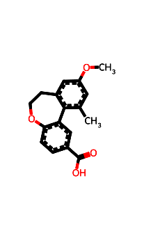 COc1cc(C)c2c(c1)CCOc1ccc(C(=O)O)cc1-2